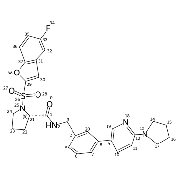 O=C(NCc1cccc(-c2ccc(N3CCCC3)nc2)c1)[C@@H]1CCCN1S(=O)(=O)c1cc2cc(F)ccc2o1